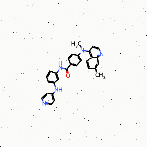 Cc1ccc2c(N(C)c3ccc(C(=O)Nc4cccc(Nc5ccncc5)c4)cc3)ccnc2c1